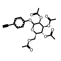 C#Cc1ccc(OC2O[C@H](COC(C)=O)[C@@H](OC(C)=O)[C@H](OC(C)=O)[C@@H]2OC(C)=O)cc1